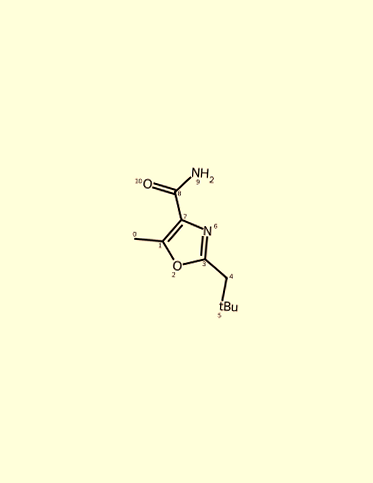 Cc1oc(CC(C)(C)C)nc1C(N)=O